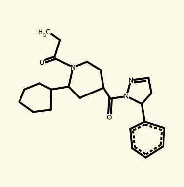 CCC(=O)N1CCC(C(=O)N2N=CCC2c2ccccc2)CC1C1CCCCC1